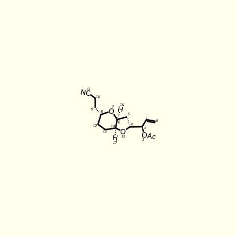 C=C[C@@H](OC(C)=O)[C@H]1C[C@@H]2O[C@@H](CCC#N)CC[C@@H]2O1